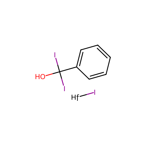 OC(I)(I)c1ccccc1.[I][Hf]